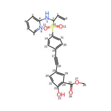 C=CC(Nc1ccccn1)S(=O)(=O)c1ccc(C#Cc2ccc(O)c(C(=O)OC)c2)cc1